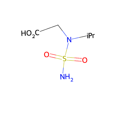 CC(C)N(CC(=O)O)S(N)(=O)=O